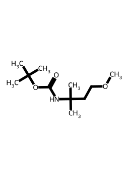 COCCC(C)(C)NC(=O)OC(C)(C)C